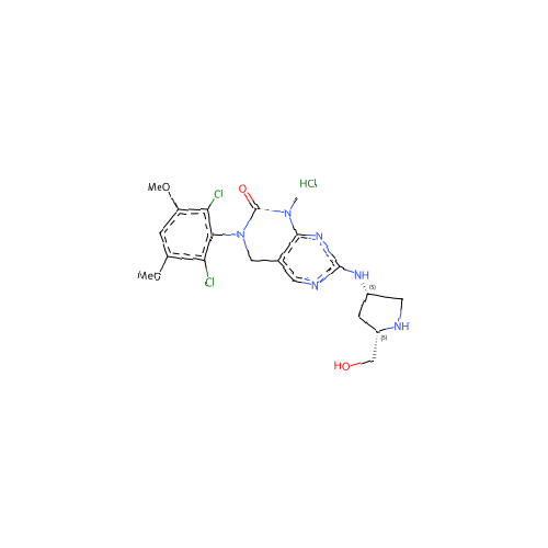 COc1cc(OC)c(Cl)c(N2Cc3cnc(N[C@@H]4CN[C@H](CO)C4)nc3N(C)C2=O)c1Cl.Cl